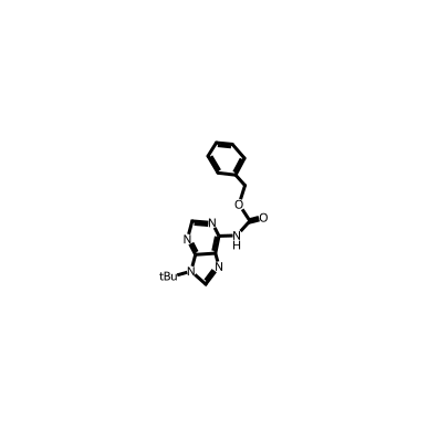 CC(C)(C)n1cnc2c(NC(=O)OCc3ccccc3)ncnc21